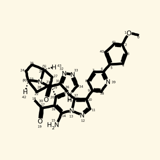 COc1ccc(-c2ccc(-c3cnn4c(N)c(C(C)=O)c([C@@H]5C[C@H]6CC[C@@H](C5)N6C(=O)c5nnc[nH]5)nc34)cn2)cc1